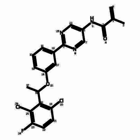 C=C(C)C(=O)Nc1cnc(-c2cccc(OC(C)c3c(Cl)ccc(F)c3Cl)c2)nc1